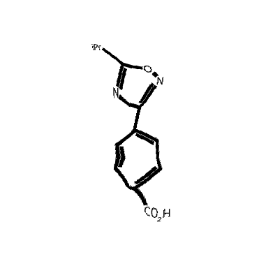 CC(C)c1nc(-c2ccc(C(=O)O)cc2)no1